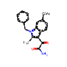 COc1ccc2c(C(=O)C(N)=O)c(C)n(Cc3ccccc3)c2c1